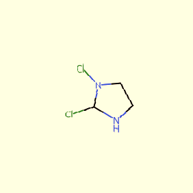 ClC1NCCN1Cl